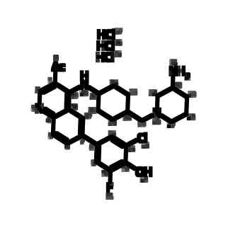 CC(=O)c1cnc2ccc(-c3cc(F)c(O)c(Cl)c3)cc2c1NC1CCC(CN2CCCC(N)C2)CC1.Cl.Cl.Cl